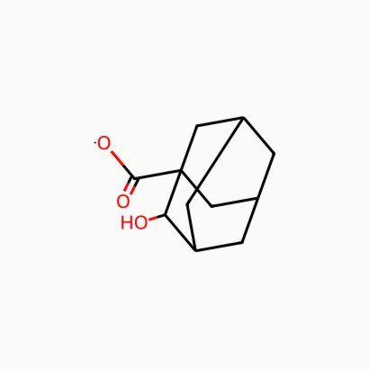 [O]C(=O)C12CC3CC(CC(C3)C1O)C2